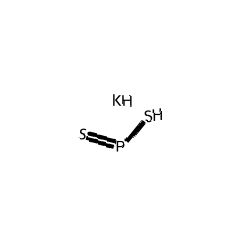 S=PS.[KH]